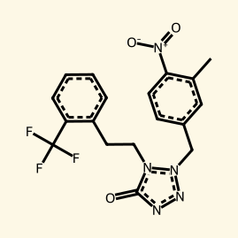 Cc1cc(Cn2nnc(=O)n2CCc2ccccc2C(F)(F)F)ccc1[N+](=O)[O-]